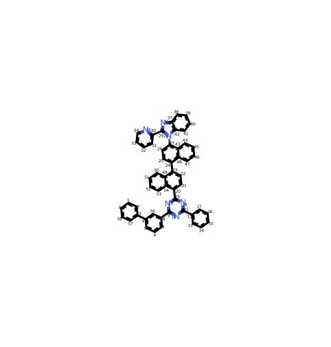 c1ccc(-c2cccc(-c3nc(-c4ccccc4)nc(-c4ccc(-c5ccc(-n6c(-c7ccccn7)nc7ccccc76)c6ccccc56)c5ccccc45)n3)c2)cc1